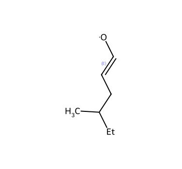 CCC(C)C/C=C/[O]